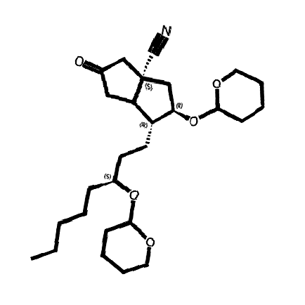 CCCCC[C@@H](CC[C@@H]1C2CC(=O)C[C@@]2(C#N)C[C@H]1OC1CCCCO1)OC1CCCCO1